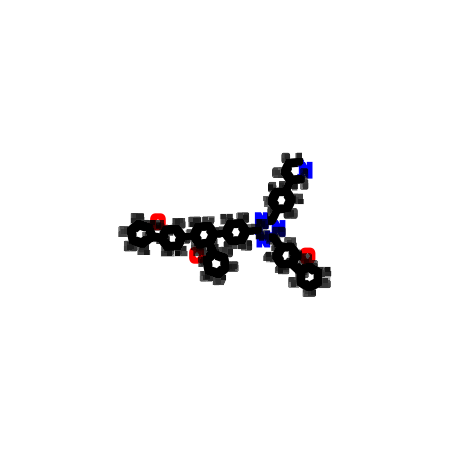 c1cncc(-c2ccc(-c3nc(-c4ccc(-c5ccc(-c6ccc7c(c6)oc6ccccc67)c6oc7ccccc7c56)cc4)nc(-c4ccc5c(c4)oc4ccccc45)n3)cc2)c1